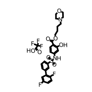 O=C(O)C(F)(F)F.O=C(OCCCCN1CCOCC1)c1ccc(NS(=O)(=O)c2cccc(-c3cc(F)ccc3F)c2)cc1O